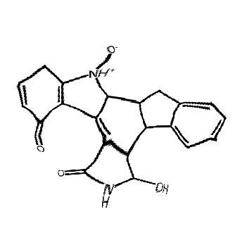 O=C1C=CCC2=C1C1=C3C(=O)NC(O)C3C3c4ccccc4CC3C1[NH+]2[O-]